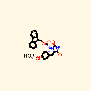 O=C(NN1C(=O)NC(=O)C1Cc1ccccc1)OCC1c2ccccc2-c2ccccc21.O=C(O)O